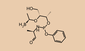 B[C@@H](C)O[C@H](CO)[C@H](C)OP(N[C@H](C)C=O)Oc1ccccc1